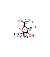 C[C@H](O)[C@@H]1O[C@](C)(C=O)C(O)C1O